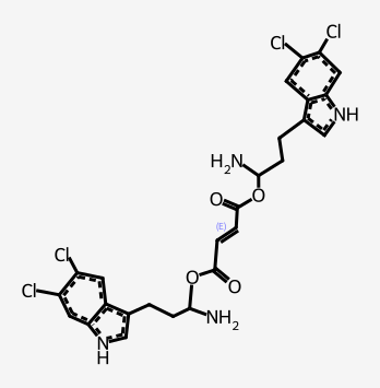 NC(CCc1c[nH]c2cc(Cl)c(Cl)cc12)OC(=O)/C=C/C(=O)OC(N)CCc1c[nH]c2cc(Cl)c(Cl)cc12